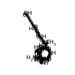 CCCC[C@H](NC(=O)COCCOCCNC(=O)COCCOCCNC(=O)CCCCCCCCCCCCCCC(=O)O)C(=O)N[C@H]1CCC(=O)CCNCCCC[C@@H](C(N)=O)NC(=O)[C@H](Cc2c[nH]c3ccccc23)NC(=O)[C@H](CCCNC(=N)N)NC(=O)[C@@H](Cc2ccccc2)NC(=O)[C@@H]2C[C@@H](O)CN2C1=O